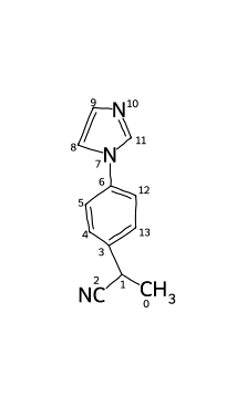 CC(C#N)c1ccc(-n2ccnc2)cc1